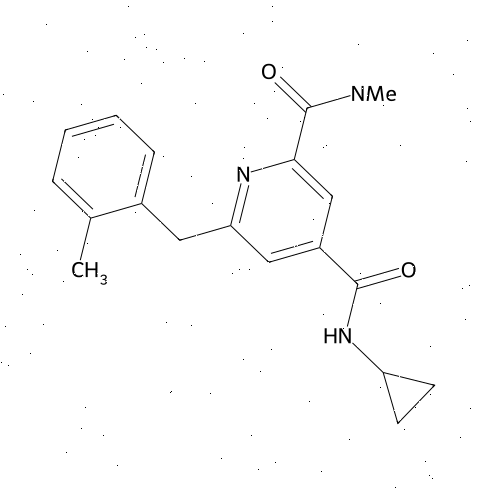 CNC(=O)c1cc(C(=O)NC2CC2)cc(Cc2ccccc2C)n1